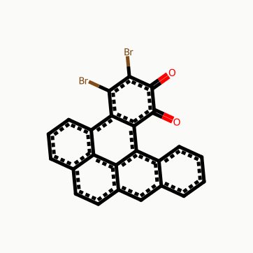 O=c1c(Br)c(Br)c2c3cccc4ccc5cc6ccccc6c(c2c1=O)c5c43